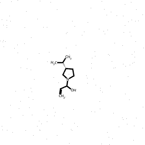 C=CC(O)N1CC[C@@H](C(C)C)C1